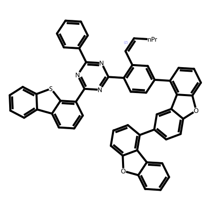 CCC/C=C\c1cc(-c2cccc3oc4ccc(-c5cccc6oc7ccccc7c56)cc4c23)ccc1-c1nc(-c2ccccc2)nc(-c2cccc3c2sc2ccccc23)n1